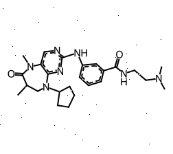 CC1CN(C2CCCC2)c2nc(Nc3cccc(C(=O)NCCN(C)C)c3)ncc2N(C)C1=O